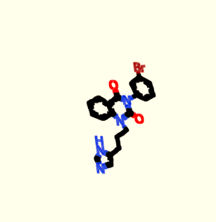 O=c1c2ccccc2n(CCCc2cnc[nH]2)c(=O)n1-c1cccc(Br)c1